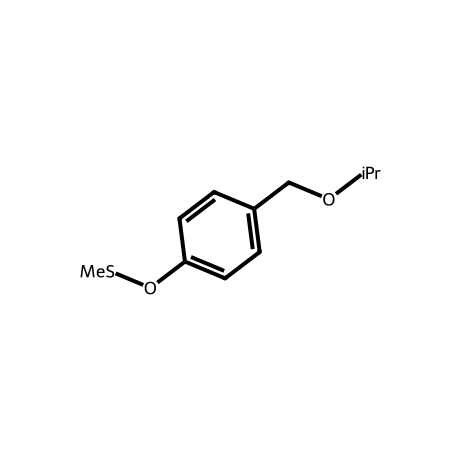 CSOc1ccc(COC(C)C)cc1